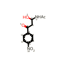 CC(=O)NC(O)CC(=O)c1ccc([N+](=O)[O-])cc1